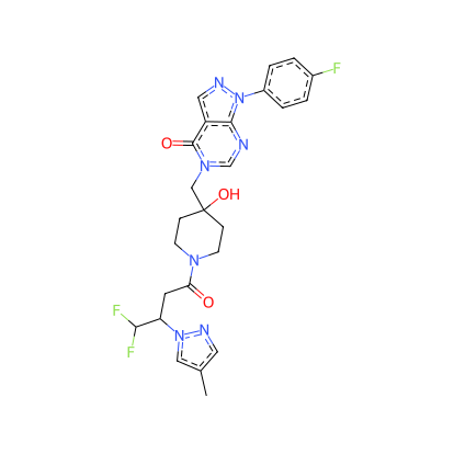 Cc1cnn(C(CC(=O)N2CCC(O)(Cn3cnc4c(cnn4-c4ccc(F)cc4)c3=O)CC2)C(F)F)c1